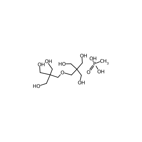 CP(=O)(O)O.OCC(CO)(CO)COCC(CO)(CO)CO